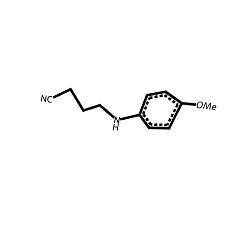 COc1ccc(NCCCC#N)cc1